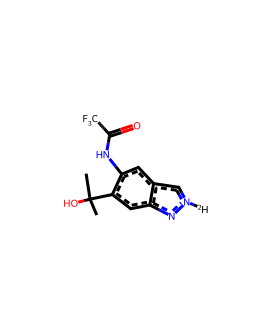 [2H]n1cc2cc(NC(=O)C(F)(F)F)c(C(C)(C)O)cc2n1